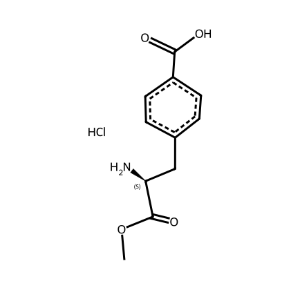 COC(=O)[C@@H](N)Cc1ccc(C(=O)O)cc1.Cl